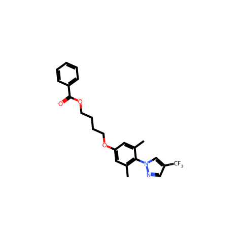 Cc1cc(OCCCCOC(=O)c2ccccc2)cc(C)c1-n1cc(C(F)(F)F)cn1